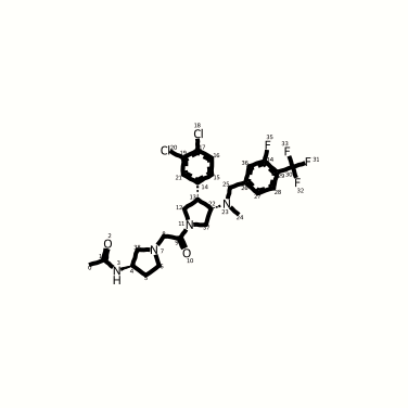 CC(=O)N[C@@H]1CCN(CC(=O)N2C[C@H](c3ccc(Cl)c(Cl)c3)[C@H](N(C)Cc3ccc(C(F)(F)F)c(F)c3)C2)C1